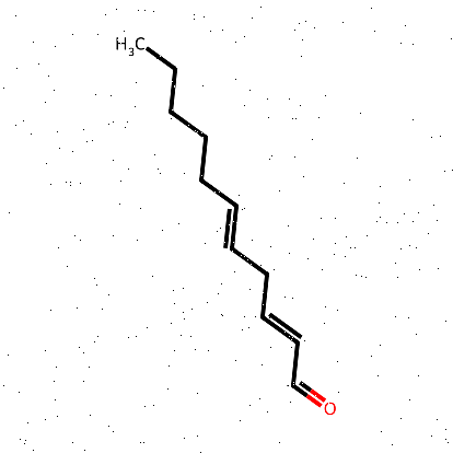 CCCCCC=CCC=C[C]=O